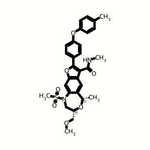 CNC(=O)c1c(-c2ccc(Oc3ccc(C)cc3)cc2)oc2cc3c(cc12)[C@H](C)O[C@H](COC)CN3S(C)(=O)=O